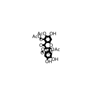 CC(=O)OOc1c(OC(C)=O)c(O)cc2c1C(=O)C(OOC(C)=O)(OC(C)=O)C(OC(C)=O)(c1ccc(O)c(O)c1)O2